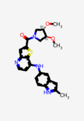 CO[C@H]1CN(C(=O)c2cc3nccc(Nc4ccc5[nH]c(C)cc5c4)c3s2)C[C@@H]1OC